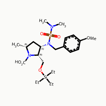 CC[Si](CC)(CC)OC[C@H]1[C@@H](N(Cc2ccc(OC)cc2)S(=O)(=O)N(C)C)C[C@@H](C)N1C(=O)O